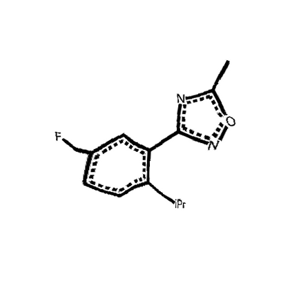 Cc1nc(-c2cc(F)ccc2C(C)C)no1